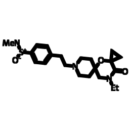 CCN1CC2(CCN(CCc3ccc([S+]([O-])NC)cc3)CC2)OC2(CC2)C1=O